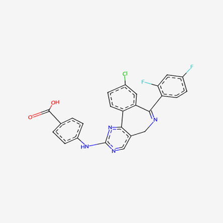 O=C(O)c1ccc(Nc2ncc3c(n2)-c2ccc(Cl)cc2C(c2ccc(F)cc2F)=NC3)cc1